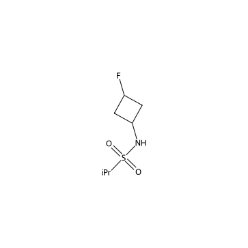 CC(C)S(=O)(=O)NC1CC(F)C1